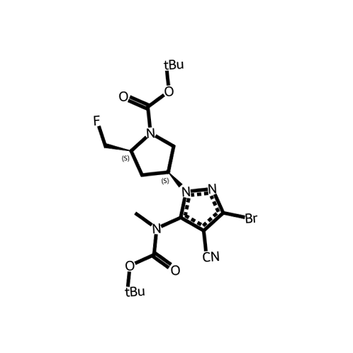 CN(C(=O)OC(C)(C)C)c1c(C#N)c(Br)nn1[C@H]1C[C@@H](CF)N(C(=O)OC(C)(C)C)C1